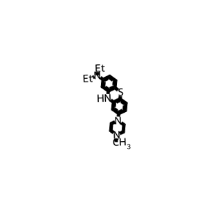 CCN(CC)c1ccc2c(c1)Nc1cc(N3CCN(C)CC3)ccc1S2